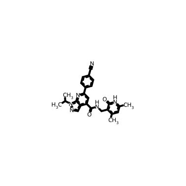 Cc1cc(C)c(CNC(=O)c2cc(-c3ccc(C#N)cc3)nc3c2cnn3C(C)C)c(=O)[nH]1